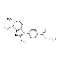 CCOC(=O)CC(=O)c1ccc(-n2c(C)nc3c2=CCN(C)C=3C)cc1